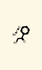 CC(=O)CC(=O)c1ccccc1.O=[C]=[Rh]